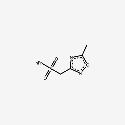 CCCS(=O)(=O)Cc1noc(C)n1